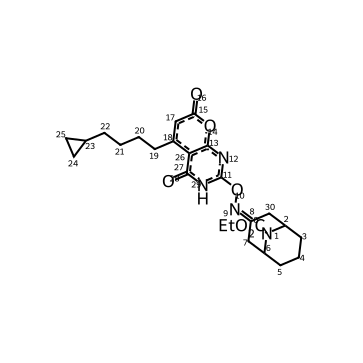 CCOC(=O)N1C2CCCC1CC(=NOc1nc3oc(=O)cc(CCCCC4CC4)c3c(=O)[nH]1)C2